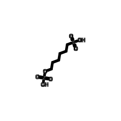 O=S(=O)(O)CCCCCCOS(=O)(=O)O